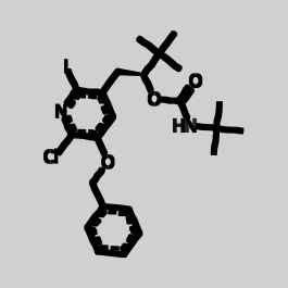 CC(C)(C)NC(=O)O[C@@H](Cc1cc(OCc2ccccc2)c(Cl)nc1I)C(C)(C)C